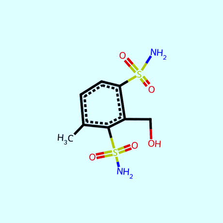 Cc1ccc(S(N)(=O)=O)c(CO)c1S(N)(=O)=O